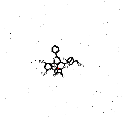 C=CC1CN2CCC1C[C@H]2[C@@H](Nc1c(Nc2cc(C(F)(F)F)cc(C(F)(F)F)c2)c(=O)c1=O)c1cc(-c2ccccc2)nc2ccc(OC)cc12